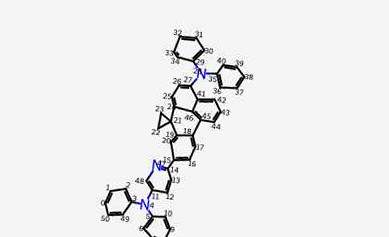 c1ccc(N(c2ccccc2)c2ccc(-c3ccc4c(c3)C3(CC3)c3ccc(N(c5ccccc5)c5ccccc5)c5cccc-4c35)nc2)cc1